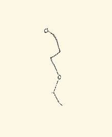 C[CH]OCCCl